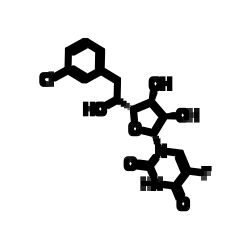 O=c1[nH]c(=O)n([C@@H]2O[C@H](C(O)Cc3cccc(Cl)c3)[C@@H](O)[C@H]2O)cc1F